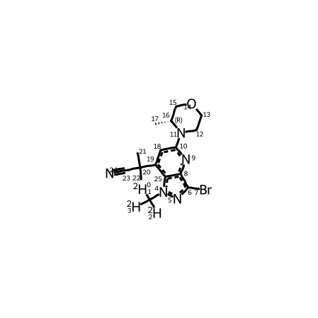 [2H]C([2H])([2H])n1nc(Br)c2nc(N3CCOC[C@H]3C)cc(C(C)(C)C#N)c21